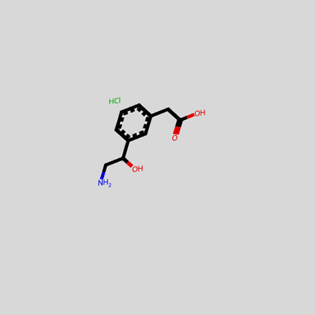 Cl.NCC(O)c1cccc(CC(=O)O)c1